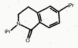 CC(C)c1ccc2c(c1)CCN(C(C)C)C2=O